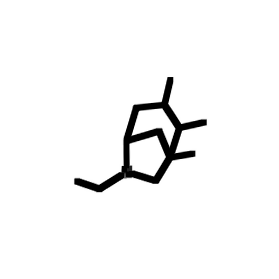 CCN1CC2(C)CC1CC(C)C2C